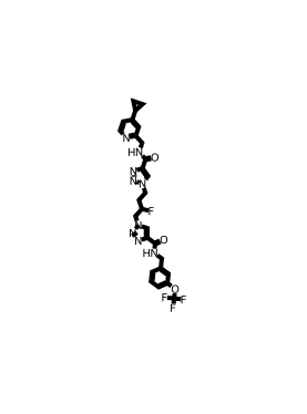 O=C(NCc1cc(C2CC2)ccn1)c1cn(CCC(F)Cn2cc(C(=O)NCc3cccc(OC(F)(F)F)c3)nn2)nn1